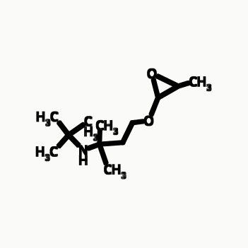 CC1OC1OCCC(C)(C)NC(C)(C)C